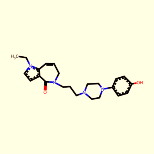 CCn1ccc2c1C=CCN(CCCN1CCN(c3ccc(O)cc3)CC1)C2=O